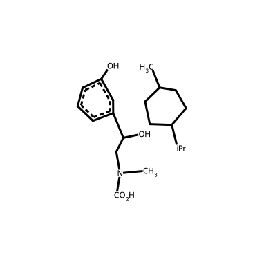 CC1CCC(C(C)C)CC1.CN(CC(O)c1cccc(O)c1)C(=O)O